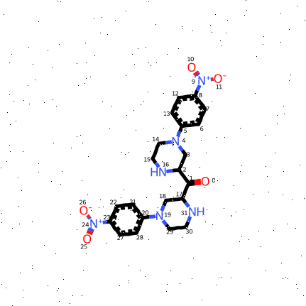 O=C(C1CN(c2ccc([N+](=O)[O-])cc2)CCN1)C1CN(c2ccc([N+](=O)[O-])cc2)CCN1